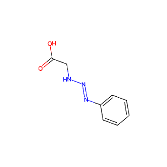 O=C(O)CNN=Nc1ccccc1